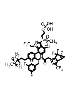 CC(C)(CCc1ccc(-c2ccc(Cl)c3c(N(CCOP(=O)(O)O)S(C)(=O)=O)nn(CC(F)(F)F)c23)c([C@H](Cc2cc(F)cc(F)c2)NC(=O)Cn2nc(C(F)(F)F)c3c2C(F)(F)[C@@H]2CC32)n1)S(C)(=O)=O